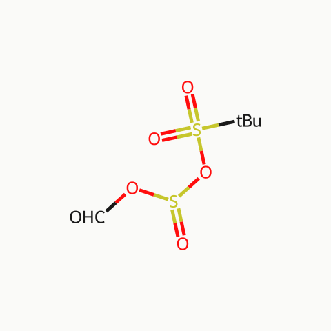 CC(C)(C)S(=O)(=O)OS(=O)OC=O